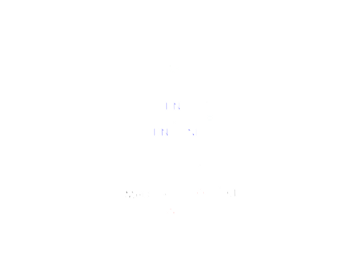 COC(=O)c1cc2c(c3cc(C)oc13)NC(Nc1c(F)cccc1Cl)N2